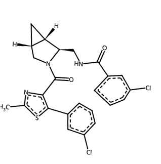 Cc1nc(C(=O)N2C[C@@H]3C[C@@H]3[C@H]2CNC(=O)c2cccc(Cl)c2)c(-c2cccc(Cl)c2)s1